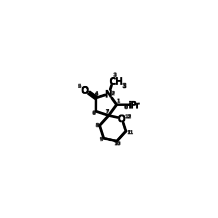 CC(C)C1N(C)C(=O)CC12CCCCO2